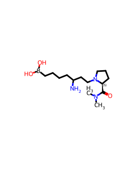 CN(C)C(=O)[C@@H]1CCCN1CCC(N)CCCCB(O)O